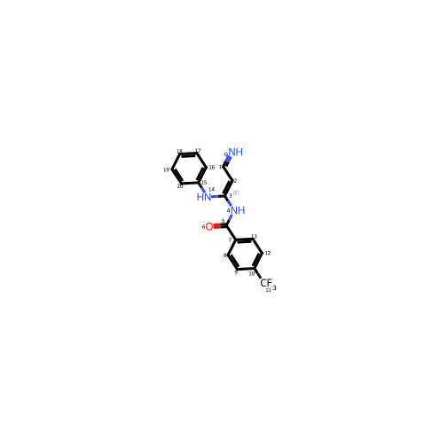 N=C/C=C(/NC(=O)c1ccc(C(F)(F)F)cc1)Nc1ccccc1